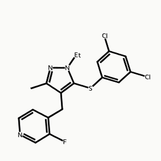 CCn1nc(C)c(Cc2ccncc2F)c1Sc1cc(Cl)cc(Cl)c1